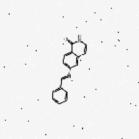 O=c1[nH]ccc2cc(N=Cc3ccccc3)ccc12